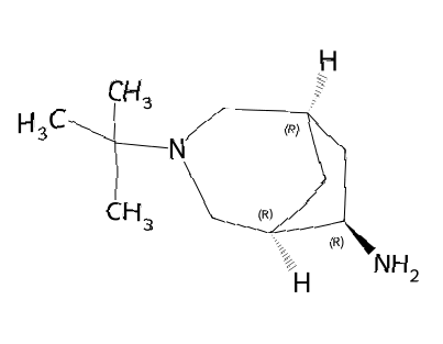 CC(C)(C)N1C[C@@H]2C[C@H](C1)[C@H](N)C2